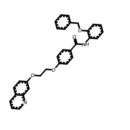 O=C(Nc1ccccc1OCc1ccccc1)c1ccc(OCCOc2ccc3cccnc3c2)cc1